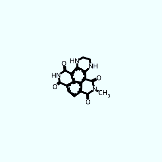 CN1C(=O)c2ccc3c4c(c5c(c(c24)C1=O)NCCN5)C(=O)NC3=O